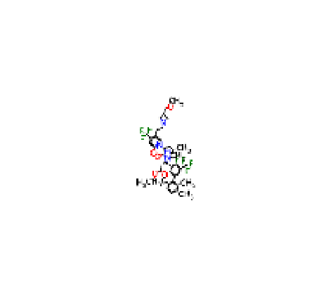 CCOC(=O)C[C@H](NC(=O)C(CC(C)C)n1cc(CCN2CC(COC)C2)c(C(F)(F)F)cc1=O)c1cc(-c2c(C)ccc(C)c2C)cc(C(F)(F)F)c1F